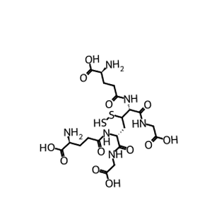 N[C@@H](CCC(=O)N[C@H](C(=O)NCC(=O)O)C(C[C@@H](NC(=O)CC[C@H](N)C(=O)O)C(=O)NCC(=O)O)SS)C(=O)O